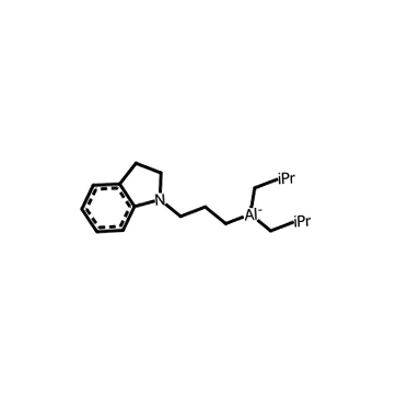 CC(C)[CH2][Al-]([CH2]CCN1CCc2ccccc21)[CH2]C(C)C